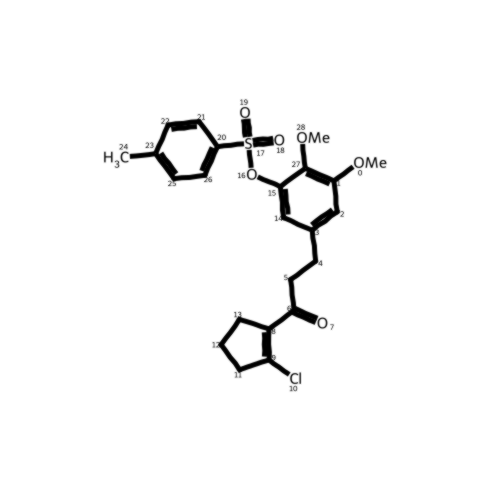 COc1cc(CCC(=O)C2=C(Cl)CCC2)cc(OS(=O)(=O)c2ccc(C)cc2)c1OC